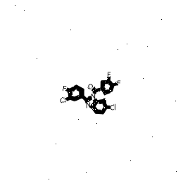 O=C(c1ccc(F)c(F)c1)n1c(-c2ccc(F)c(Cl)c2)nc2ccc(Cl)cc21